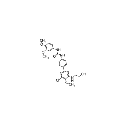 COc1ccc(NC(=O)Nc2ccc(-c3nc(Cl)c(SC)c(NCCO)n3)cc2)cc1OC